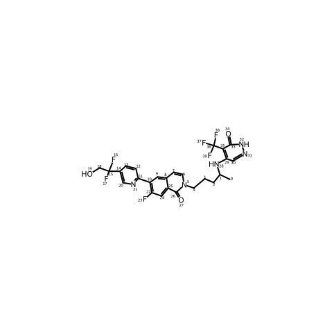 CC(CCCn1ccc2cc(-c3ccc(C(F)(F)CO)cn3)c(F)cc2c1=O)Nc1cn[nH]c(=O)c1C(F)(F)F